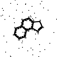 [C]1C=Nc2c1ccc1ccccc21